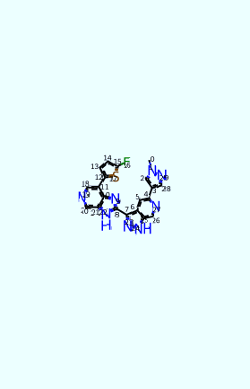 Cn1cc(-c2cc3c(-c4nc5c(-c6ccc(F)s6)cncc5[nH]4)n[nH]c3cn2)cn1